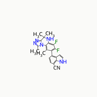 Cc1c(-c2ccc(C#N)c3[nH]ccc23)c(F)c(F)c2c1-n1c(C)nnc1C(C)(C)N2